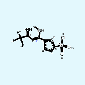 CN/C(=C\C(=N)C(F)(F)F)c1ccc(S(=O)(=O)Cl)s1